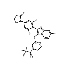 Cc1ccn2c(C[C@H]3CN(C(=O)C(C)(F)F)CCO3)c(-c3c(F)cc(N4CCCC4=O)cc3F)nc2c1